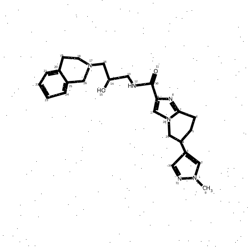 Cn1cc(C2CCc3nc(C(=O)NCC(O)CN4CCc5ccccc5C4)cn3C2)cn1